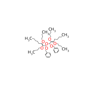 CCCCCC(OCCCC)=C(OCCCC)C(OCc1ccccc1)OC(OCc1ccccc1)C(OCCCC)=C(CCCCC)OCCCC